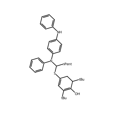 CCCCCC(SC1=CC(C(C)(C)C)=C(O)C(C(C)(C)C)C1)N(c1ccccc1)c1ccc(Nc2ccccc2)cc1